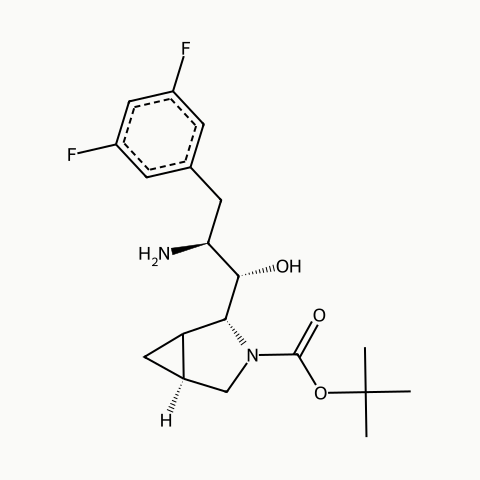 CC(C)(C)OC(=O)N1C[C@H]2CC2[C@@H]1[C@@H](O)[C@@H](N)Cc1cc(F)cc(F)c1